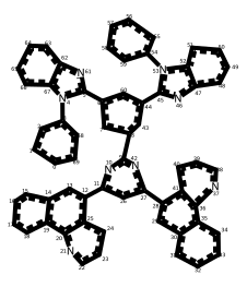 c1ccc(-n2c(-c3cc(-c4nc(-c5cc6ccccc6c6ncccc56)cc(-c5cc6ccccc6c6ncccc56)n4)cc(-c4nc5ccccc5n4-c4ccccc4)c3)nc3ccccc32)cc1